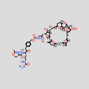 C=C1C[C@@H]2CC[C@]34C[C@@H](O)[C@H](O3)C3O[C@H]5CC[C@H](CC(=O)C[C@@H]6[C@@H](OC)[C@@H](C[C@H](O)CNC(=O)OCc7ccc(CC(=O)[C@H](CCCNC(N)=O)NC(=O)[C@H](CC)NC(C)=O)cc7)O[C@H]6C[C@H]6O[C@H](CCC6=C)CC[C@@H]1O2)O[C@@H]5[C@H](O4)C3C